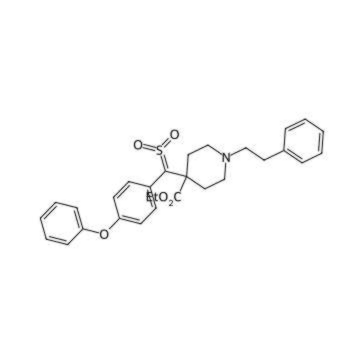 CCOC(=O)C1(C(c2ccc(Oc3ccccc3)cc2)=S(=O)=O)CCN(CCc2ccccc2)CC1